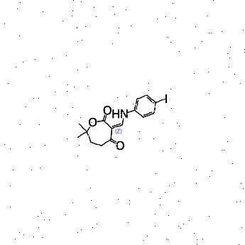 CC1(C)CCC(=O)/C(=C/Nc2ccc(I)cc2)C(=O)O1